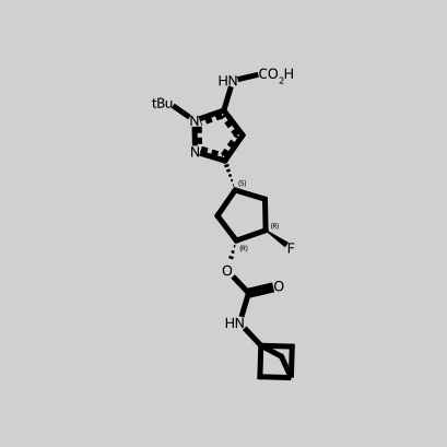 CC(C)(C)n1nc([C@@H]2C[C@@H](F)[C@H](OC(=O)NC34CC(C3)C4)C2)cc1NC(=O)O